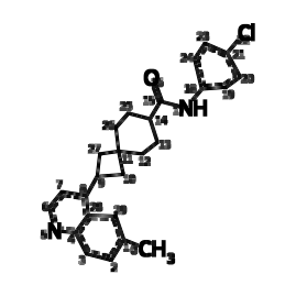 Cc1ccc2nccc(C3CC4(CCC(C(=O)Nc5ccc(Cl)cc5)CC4)C3)c2c1